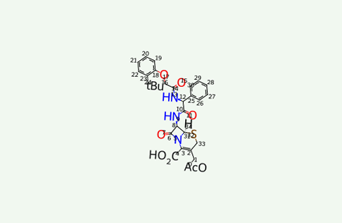 CC(=O)OCC1=C(C(=O)O)N2C(=O)[C@@H](NC(=O)[C@@H](NC(=O)COc3ccccc3C(C)(C)C)c3ccccc3)[C@H]2SC1